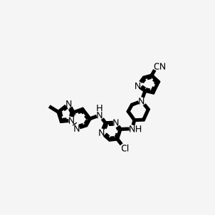 Cc1cn2ncc(Nc3ncc(Cl)c(NC4CCN(c5ccc(C#N)cn5)CC4)n3)cc2n1